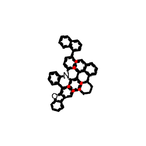 c1ccc(N(c2ccc(-c3cccc4ccccc34)cc2)c2ccccc2-c2cccc3cccc(C4CCCCC4)c23)c(-c2cccc3c2oc2ccccc23)c1